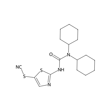 N#CSc1cnc(NC(=O)N(C2CCCCC2)C2CCCCC2)s1